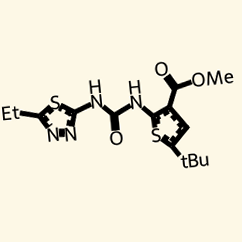 CCc1nnc(NC(=O)Nc2sc(C(C)(C)C)cc2C(=O)OC)s1